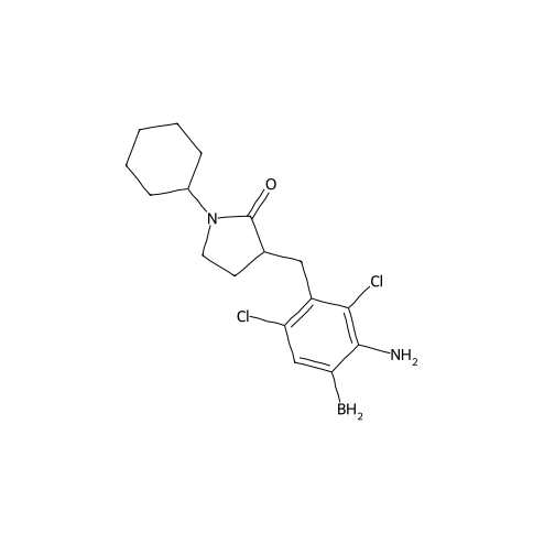 Bc1cc(Cl)c(CC2CCN(C3CCCCC3)C2=O)c(Cl)c1N